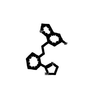 Brc1cc(CCc2ccccc2C2=NCCN2)c2occc2c1